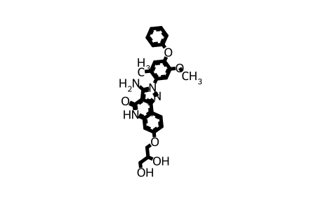 COc1cc(-n2nc3c(c2N)c(=O)[nH]c2cc(OCC(O)CO)ccc23)c(C)cc1Oc1ccccc1